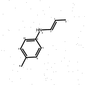 C/C=C/Nc1ccc(C)cc1